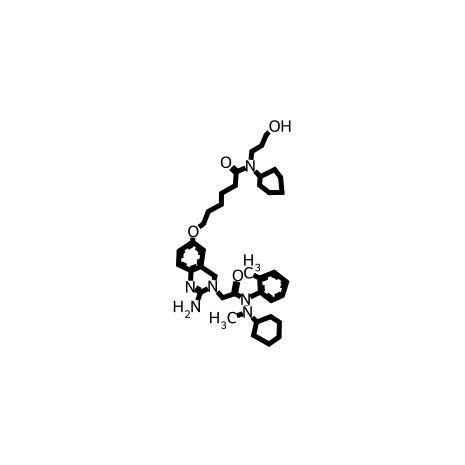 Cc1ccccc1N(C(=O)CN1Cc2cc(OCCCCCC(=O)N(CCCO)C3CCCCC3)ccc2N=C1N)N(C)C1CCCCC1